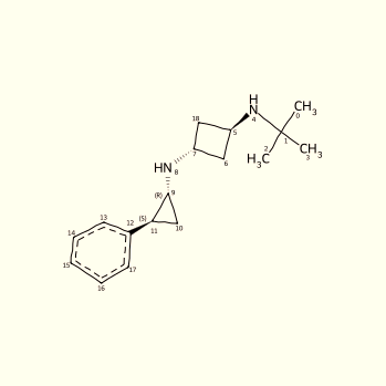 CC(C)(C)N[C@H]1C[C@H](N[C@@H]2C[C@H]2c2ccccc2)C1